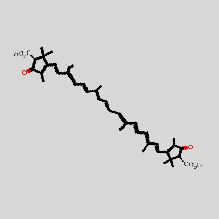 CC1=C(/C=C/C(C)=C/C=C/C(C)=C/C=C/C=C(C)/C=C/C=C(C)/C=C/C2=C(C)C(=O)[C@@H](C(=O)O)C2(C)C)C(C)(C)[C@H](C(=O)O)C1=O